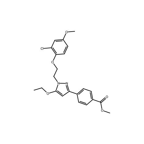 CCOc1cc(-c2ccc(C(=O)OC)cc2)nn1CCOc1ccc(OC)cc1Cl